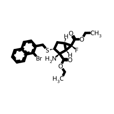 CCOC(=O)[C@@]1(N)[C@H]2[C@@H](C[C@H]1SCc1ccc3ccccc3c1Br)[C@]2(F)C(=O)OCC